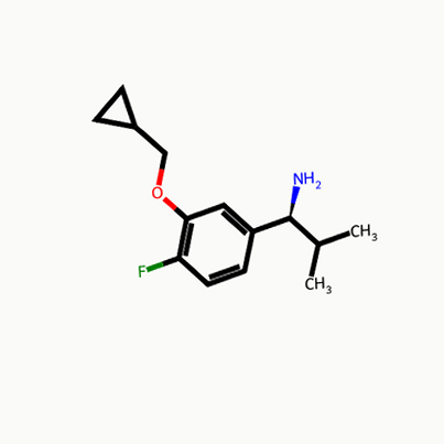 CC(C)[C@H](N)c1ccc(F)c(OCC2CC2)c1